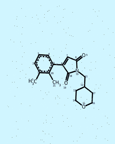 Cc1cccc(C2=CC(=O)N(CC3CCOCC3)C2=O)c1C